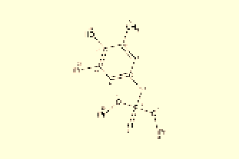 Cc1cc(CP(=O)(OC(C)C)OC(C)C)cc(C(C)C)c1O